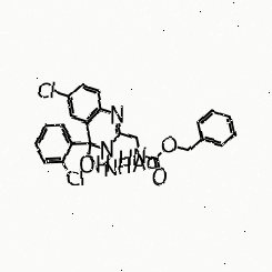 CC(=O)NN1C(CNC(=O)OCc2ccccc2)=Nc2ccc(Cl)cc2C1(O)c1ccccc1Cl